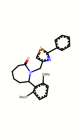 COc1cccc(OC)c1C1CCCCC(=O)N1Cc1csc(-c2ccccc2)n1